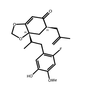 C=C(C)C[C@H]1C[C@]2(C(C)Cc3cc(O)c(OC)cc3F)OCOC2=CC1=O